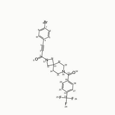 O=C(C#Cc1ccc(Br)cc1)N1CC2(CCN(C(=O)c3ccc(C(F)(F)F)cc3)CC2)C1